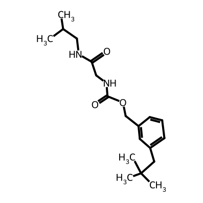 CC(C)CNC(=O)CNC(=O)OCc1cccc(CC(C)(C)C)c1